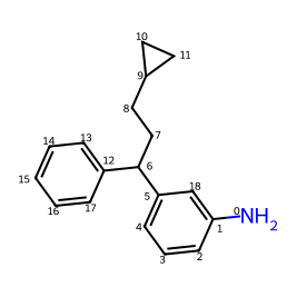 Nc1cccc(C(CCC2CC2)c2ccccc2)c1